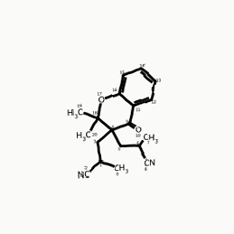 CC(C#N)CC1(CC(C)C#N)C(=O)c2ccccc2OC1(C)C